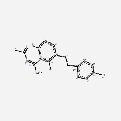 C=C(C)/N=C(/NC)c1c(C)ccc(CCc2ccc(CC)cc2)c1C